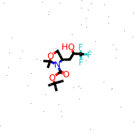 CC(C)(C)OC(=O)N1C(CC(O)C(F)(F)F)COC1(C)C